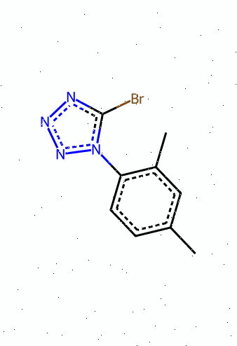 Cc1ccc(-n2nnnc2Br)c(C)c1